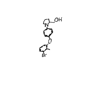 Cc1c(Br)cccc1Oc1ccc(N2CCC[C@H]2CO)cc1